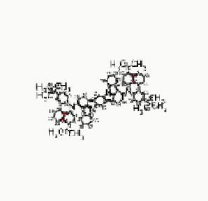 CC(C)c1ccc(N(c2ccc([Si](C)(C)C)cc2-c2ccccc2)c2ccc3c4cc5c(cc4n4c6ccccc6c2c34)c2ccc(N(c3ccc(C(C)C)cc3)c3ccc([Si](C)(C)C)cc3-c3ccccc3)c3c4ccccc4n5c23)cc1